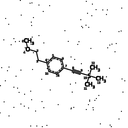 COCCc1ccc(C#CS(C)(C)C)cc1